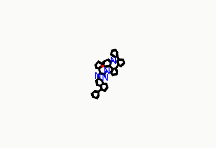 c1ccc(-c2nc3ccc4c(-c5ccccc5)cccc4c3nc2-n2c3cccc4c5cccc6c7ccccc7n(c7cccc2c7c43)c56)cc1